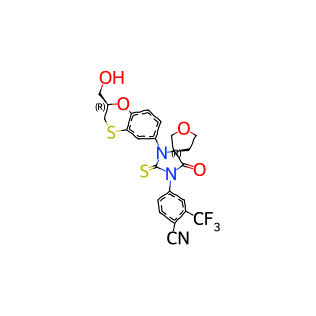 N#Cc1ccc(N2C(=O)[C@]3(CCOC3)N(c3ccc4c(c3)SC[C@@H](CO)O4)C2=S)cc1C(F)(F)F